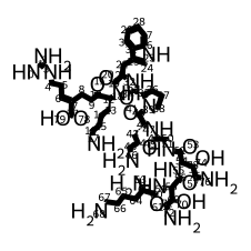 N=C(N)NCC/C=C(\CCC(=O)[C@H](CCCCN)NC(=O)C(Cc1c[nH]c2ccccc12)NC(=O)[C@@H]1CCCN1C(=O)[C@@H](CCCN)NC(=O)CNC(=O)[C@@H](NC(=O)[C@@H](NC(=O)[C@@H](N)CCCCN)[C@@H](O)CN)[C@@H](O)CN)C(=O)O